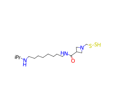 CC(C)NCCCCCCCCNC(=O)C1CN(CSS)C1